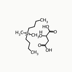 CCC[CH2][Sn]([CH3])([CH3])[CH2]CCC.O=C(O)CC(O)C(=O)O